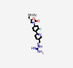 CC(=O)NC[C@H]1CN(c2ccc(-c3ccc(C=NNC(=N)N)cn3)c(F)c2)C(=O)O1